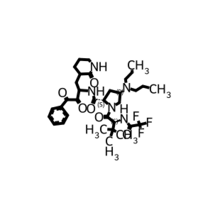 CCCN(CCC)[C@@H]1C[C@@H](C(=O)NC(CC2CCCNC2=O)C(=O)C(=O)c2ccccc2)N(C(=O)[C@@H](NC(=O)C(F)(F)F)C(C)(C)C)C1